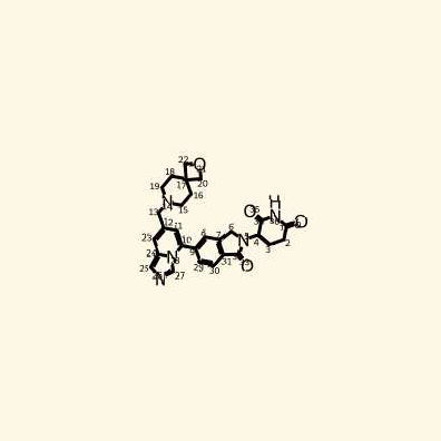 O=C1CCC(N2Cc3cc(-c4cc(CN5CCC6(CC5)COC6)cc5cncn45)ccc3C2=O)C(=O)N1